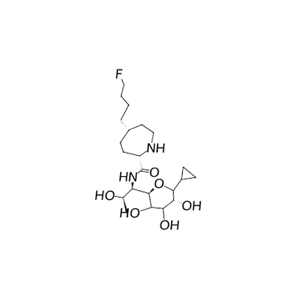 C[C@@H](O)[C@@H](NC(=O)[C@@H]1CC[C@H](CCCCF)CCN1)[C@H]1OC(C2CC2)[C@H](O)C(O)C1O